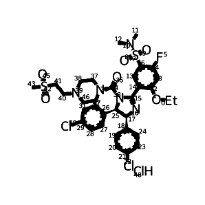 CCOc1cc(F)c(S(=O)(=O)N(C)C)cc1C1=N[C@@H](c2ccc(Cl)cc2)[C@@H](c2ccc(Cl)cc2)N1C(=O)N1CCN(CCS(C)(=O)=O)CC1.Cl